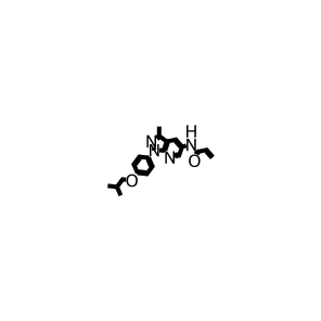 C=CC(=O)Nc1cnc2c(c1)c(C)nn2-c1ccc(OCC(C)C)cc1